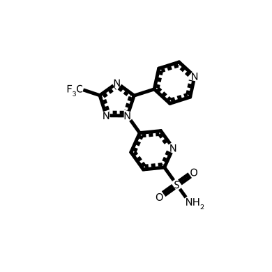 NS(=O)(=O)c1ccc(-n2nc(C(F)(F)F)nc2-c2ccncc2)cn1